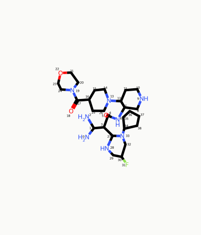 NC(N)C(C(=O)NC1CNCCC1N1CCC(C(=O)N2CCOCC2)CC1)C1NCC(F)CN1C1CCCC1